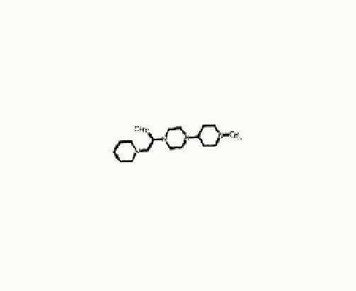 CN1CCC(N2CCN(C(C=O)CN3CCCCC3)CC2)CC1